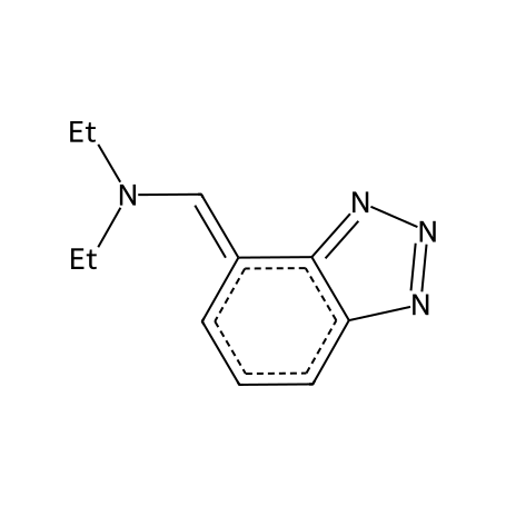 CCN(C=c1cccc2c1=NN=N2)CC